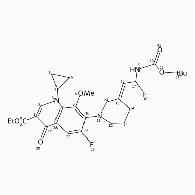 CCOC(=O)c1cn(C2CC2)c2c(OC)c(N3CCCC(=CC(F)NC(=O)OC(C)(C)C)C3)c(F)cc2c1=O